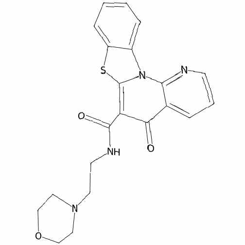 O=C(NCCN1CCOCC1)c1c(=O)c2cccnc2n2c1sc1ccccc12